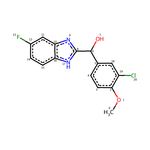 COc1ccc(C(O)c2nc3cc(F)ccc3[nH]2)cc1Cl